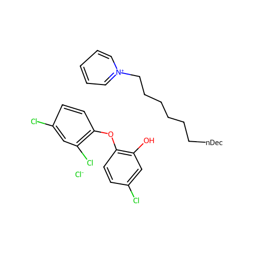 CCCCCCCCCCCCCCCC[n+]1ccccc1.Oc1cc(Cl)ccc1Oc1ccc(Cl)cc1Cl.[Cl-]